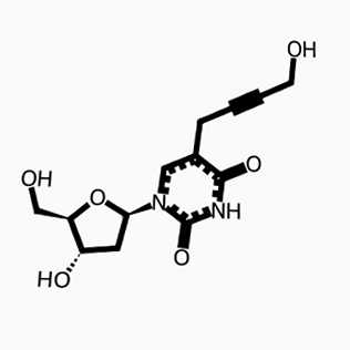 O=c1[nH]c(=O)n([C@H]2C[C@H](O)[C@@H](CO)O2)cc1CC#CCO